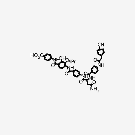 CC(C)Oc1c(NC(=O)c2ccc(NC(=O)C(CC(N)=O)NC(=O)c3ccc(NC(=O)Cc4ccc(C#N)cc4)cc3)cc2)ccc(C(=O)Nc2ccc(C(=O)O)cc2)c1O